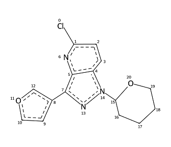 Clc1ccc2c(n1)c(-c1ccoc1)nn2C1CCCCO1